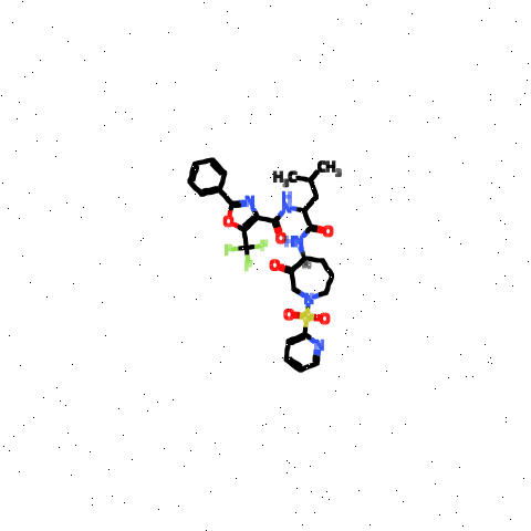 CC(C)CC(NC(=O)c1nc(-c2ccccc2)oc1C(F)(F)F)C(=O)N[C@H]1CCCN(S(=O)(=O)c2ccccn2)CC1=O